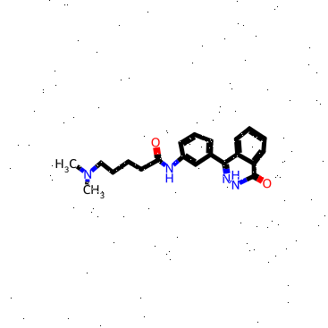 CN(C)CCCCC(=O)Nc1cccc(-c2n[nH]c(=O)c3ccccc23)c1